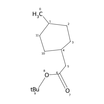 CC1CCC(CC(=O)OC(C)(C)C)CC1